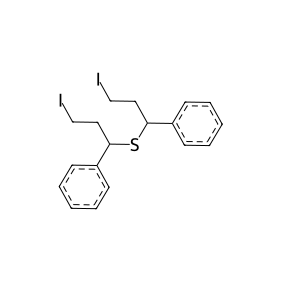 ICCC(SC(CCI)c1ccccc1)c1ccccc1